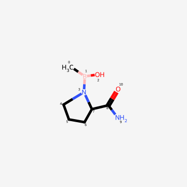 CB(O)N1CCCC1C(N)=O